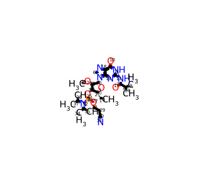 CC[C@H]1O[C@@H](n2cnc3c(=O)[nH]c(NC(=O)C(C)C)nc32)[C@H](OC)[C@@H]1OP(OCCC#N)N(C(C)C)C(C)C